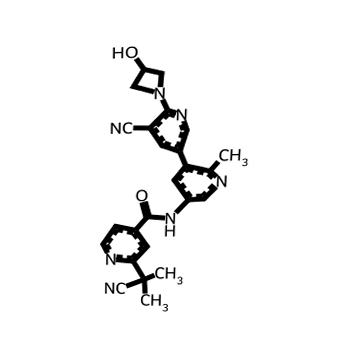 Cc1ncc(NC(=O)c2ccnc(C(C)(C)C#N)c2)cc1-c1cnc(N2CC(O)C2)c(C#N)c1